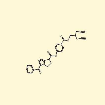 C#CCC(CC#C)COC(=O)c1ccc(OC(=O)C2CCn3c(C(=O)c4ccccc4)ccc32)cc1